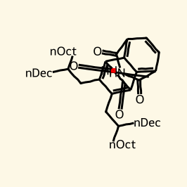 CCCCCCCCCCC(CCCCCCCC)Cc1c(CC(CCCCCCCC)CCCCCCCCCC)c2c(=O)[nH]c(=O)c1c1c3ccc(c(=O)[nH]c3=O)c21